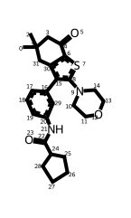 CC1(C)CC(=O)c2sc(N3CCOCC3)c(-c3cccc(NC(=O)C4CCCC4)c3)c2C1